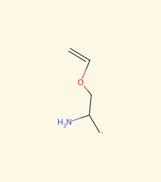 [CH2]C(N)COC=C